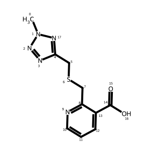 Cn1nnc(CSCc2ncccc2C(=O)O)n1